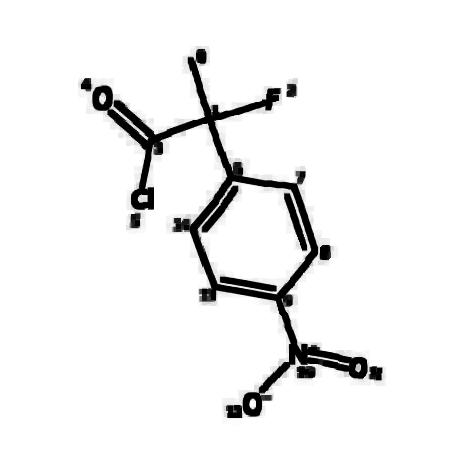 CC(F)(C(=O)Cl)c1ccc([N+](=O)[O-])cc1